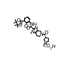 Cn1c(C(=O)Nc2cccc(B3OC(C)(C)C(C)(C)O3)c2Cl)nc2c1CCN(C(=O)[C@H]1CCN(C(=O)O)C1)C2